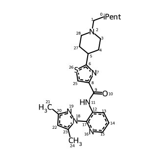 CCCC(C)CN1CCC(c2nc(C(=O)Nc3cccnc3-n3nc(C)cc3C)cs2)CC1